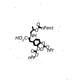 CCCCCC(=O)OC(C)CN[C@@H](Cc1ccc(OC(=O)OCCC)c(OC(=O)OCCC)c1)C(=O)O